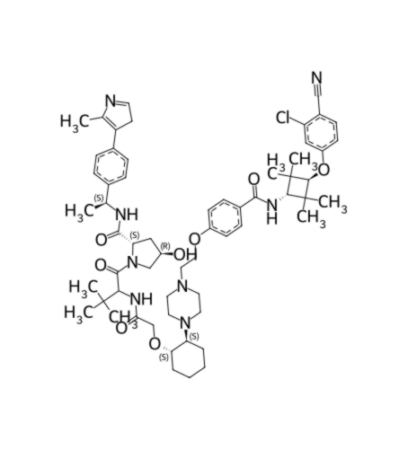 CC1=C(c2ccc([C@H](C)NC(=O)[C@@H]3C[C@@H](O)CN3C(=O)C(NC(=O)CO[C@H]3CCCC[C@@H]3N3CCN(CCOc4ccc(C(=O)N[C@H]5C(C)(C)[C@H](Oc6ccc(C#N)c(Cl)c6)C5(C)C)cc4)CC3)C(C)(C)C)cc2)CC=N1